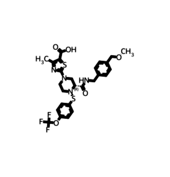 COCc1ccc(CNC(=O)[C@H]2CN(c3nc(C)c(C(=O)O)s3)CCN2Sc2ccc(OC(F)(F)F)cc2)cc1